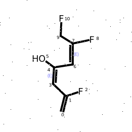 C=C(F)/C=C(O)\C=C(\F)CF